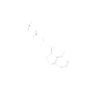 Cc1cccc2c1C(N[S+]([O-])NC(=O)OC(C)(C)C)CC2